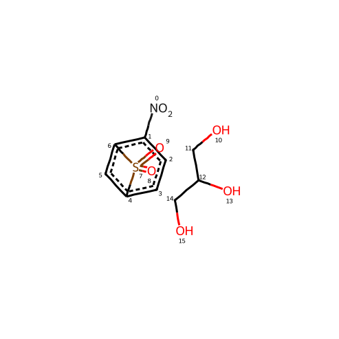 O=[N+]([O-])c1ccc2cc1S2(=O)=O.OCC(O)CO